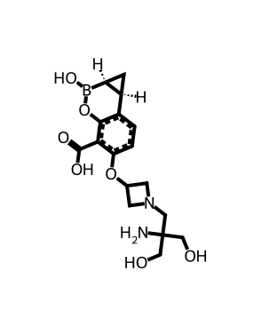 NC(CO)(CO)CN1CC(Oc2ccc3c(c2C(=O)O)OB(O)[C@H]2C[C@@H]32)C1